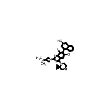 CN(C)C1CN(c2nc(N3CCNCC34CC4)c3cc(Cl)c(-c4cc(O)cc5ccccc45)c(F)c3n2)C1